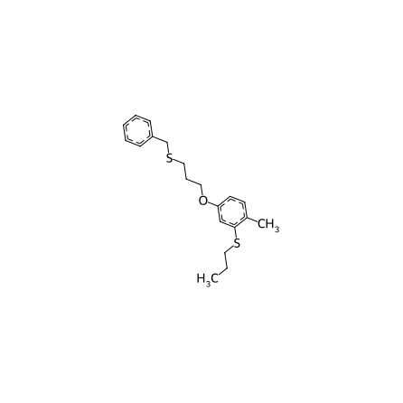 CCCSc1cc(OCCCSCc2ccccc2)ccc1C